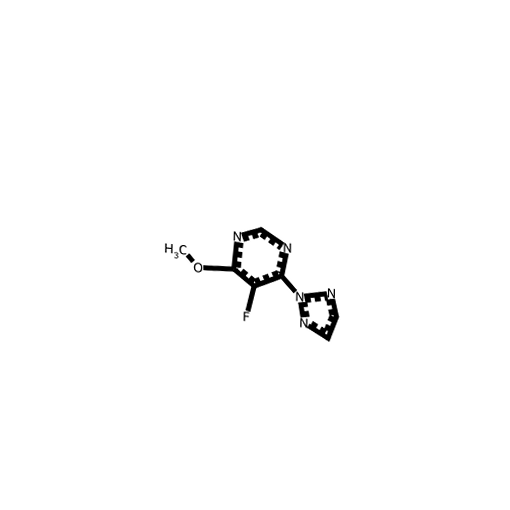 COc1ncnc(-n2nccn2)c1F